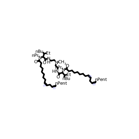 CCCCC/C=C\C/C=C\CCCCCCCC(=O)N(CCC)C(C(=O)NCCN(C)CCNC(=O)C(C(CC)CCCC)N(CCC)C(=O)CCCCCCC/C=C\C/C=C\CCCCC)C(CC)CCCC